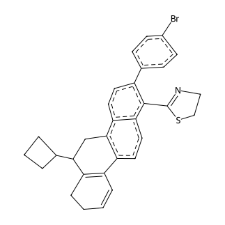 Brc1ccc(-c2ccc3c4c(ccc3c2C2=NCCS2)C2=C(CCC=C2)C(C2CCC2)C4)cc1